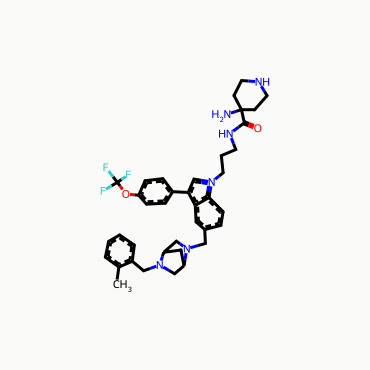 Cc1ccccc1CN1CC2CC1CN2Cc1ccc2c(c1)c(-c1ccc(OC(F)(F)F)cc1)cn2CCCNC(=O)C1(N)CCNCC1